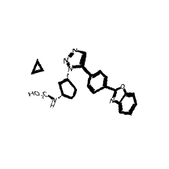 C1CC1.O=C(O)N[C@H]1CC[C@@H](n2nncc2-c2ccc(-c3nc4ccccc4o3)cc2)C1